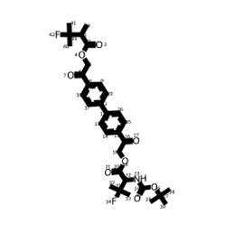 CC(C(=O)OCC(=O)c1ccc(-c2ccc(C(=O)COC(=O)C(NC(=O)OC(C)(C)C)C(C)(C)F)cc2)cc1)C(C)(C)F